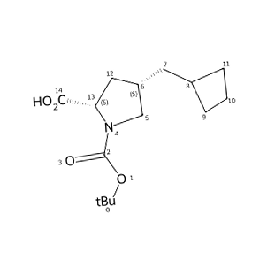 CC(C)(C)OC(=O)N1C[C@@H](CC2CCC2)C[C@H]1C(=O)O